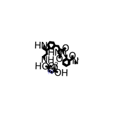 CN(C)C(=O)c1ccccc1CN1C(=O)NC(Cc2ccc3[nH]cc(CCN)c3c2)C1=O.O=C(O)/C=C\C(=O)O